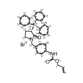 C=CCOC(=O)Nc1ccc(CN2CC[C@@H]([P+](c3ccccc3)(c3ccccc3)c3ccccc3)C2=O)cc1.[Br-]